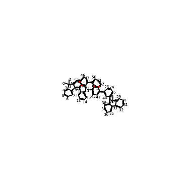 CC1(C)c2ccccc2-c2c(-c3ccccc3N(c3ccc(-c4cccc(-n5c6ccccc6c6ccccc65)c4)cc3)c3ccccc3-c3ccccc3)cccc21